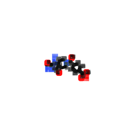 O=C1NC(=O)C2(CCN(C(=O)c3ccc(C(=O)O)cc3)CC2)N1